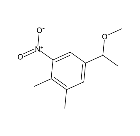 COC(C)c1cc(C)c(C)c([N+](=O)[O-])c1